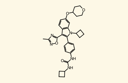 Cc1noc(-c2c(-c3ccc(NC(=O)NC4CCC4)cc3)n(C3CCC3)c3cc(OC4CCOCC4)ccc23)n1